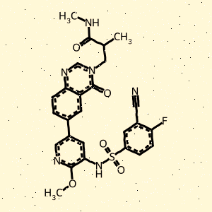 CNC(=O)C(C)Cn1cnc2ccc(-c3cnc(OC)c(NS(=O)(=O)c4ccc(F)c(C#N)c4)c3)cc2c1=O